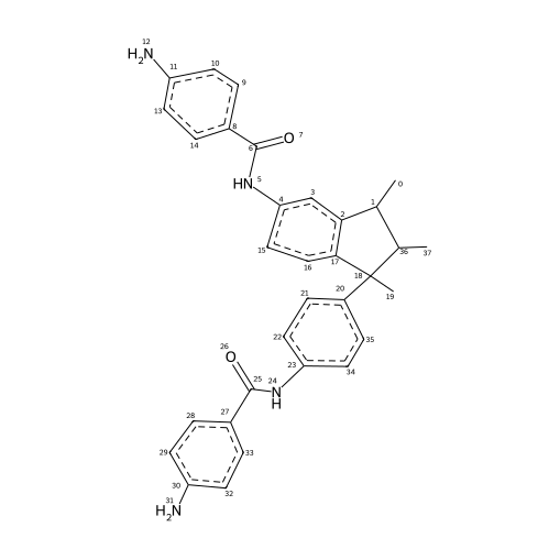 CC1c2cc(NC(=O)c3ccc(N)cc3)ccc2C(C)(c2ccc(NC(=O)c3ccc(N)cc3)cc2)C1C